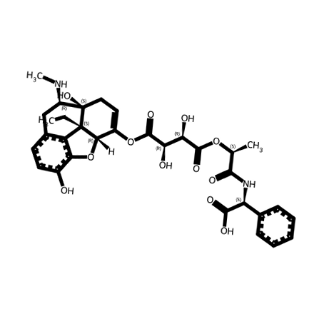 CC[C@]12c3c4ccc(O)c3O[C@H]1C(OC(=O)[C@H](O)[C@@H](O)C(=O)O[C@@H](C)C(=O)N[C@H](C(=O)O)c1ccccc1)=CC[C@@]2(O)[C@H](NC)C4